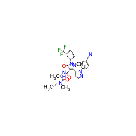 CCCN(C)C(=O)[C@H](C)NC(=O)c1c(-c2ccnn2-c2ccc(C#N)cc2)n(C)n(-c2cccc(C(F)(F)F)c2)c1=O